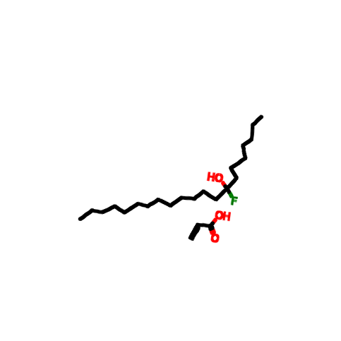 C=CC(=O)O.CCCCCCCCCCCCCC(O)(F)CCCCCCC